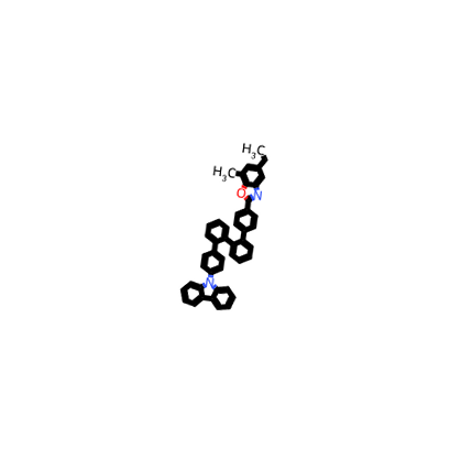 CCc1cc(C)c2oc(-c3ccc(-c4ccccc4-c4ccccc4-c4ccc(-n5c6ccccc6c6ccccc65)cc4)cc3)nc2c1